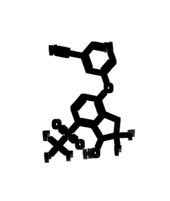 N#Cc1cncc(Oc2ccc(S(=O)(=O)C(F)(F)F)c3c2CC(F)(F)C3O)c1